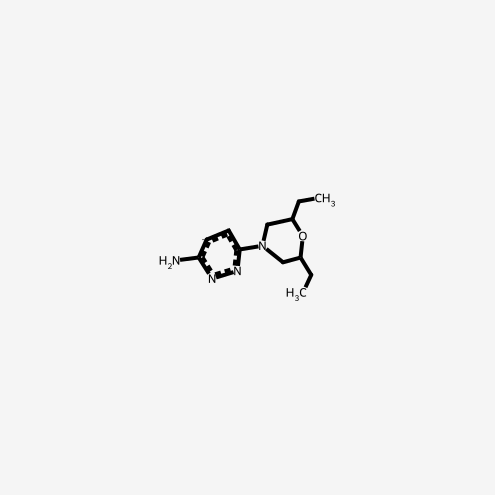 CCC1CN(c2c[c]c(N)nn2)CC(CC)O1